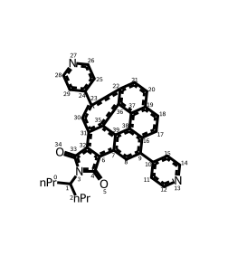 CCCC(CCC)n1c(=O)c2c3cc(-c4ccncc4)c4ccc5ccc6c(-c7ccncc7)cc(c2c1=O)c1c6c5c4c31